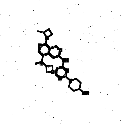 CC1CCN1c1ncc([C@H](C)C2COC2)c2cc(Nc3ccnc(N4CCC(O)CC4)n3)ncc12